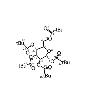 CC(C)(C)C(=O)OC[C@H]1O[C@H](OC(=O)C(C)(C)C)[C@@H](OC(=O)C(C)(C)C)[C@@H](OC(=O)C(C)(C)C)[C@@H]1OC(=O)C(C)(C)C